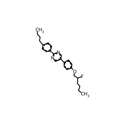 CCCCc1ccc(-c2ncc(-c3ccc(OCC(F)CCCC)cc3)cn2)cc1